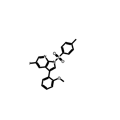 COc1ccccc1-c1cn(S(=O)(=O)c2ccc(C)cc2)c2ncc(I)cc12